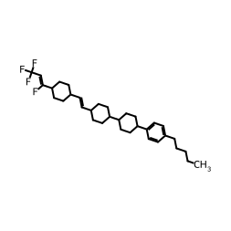 CCCCCc1ccc(C2CCC(C3CCC(/C=C/C4CCC(/C(F)=C/C(F)(F)F)CC4)CC3)CC2)cc1